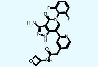 Nc1n[nH]c2c(-c3cc(CC(=O)NC4COC4)ccn3)cn(-c3c(F)cccc3F)c(=O)c12